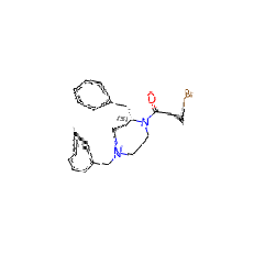 O=C(CBr)N1CCN(Cc2ccccc2)C[C@@H]1Cc1ccccc1